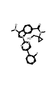 CN(C(=O)c1ccc2c([S+](C)[O-])cn(-c3ncc(-c4ccccc4F)cn3)c2c1)C1(CO)CC1